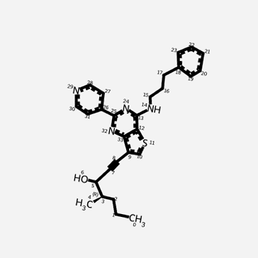 CCC[C@@H](C)C(O)C#Cc1csc2c(NCCCc3ccccc3)nc(-c3ccncc3)nc12